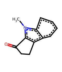 Cn1c2c(c3ccccc31)CCC2=O